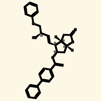 O=C1C[C@@H]2[C@@H](C=C[C@H](O)COc3ccccc3)[C@H](OC(=O)c3ccc(-c4ccccc4)cc3)C[C@@H]2O1